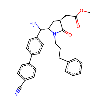 COC(=O)C[C@@H]1C[C@@H](C(N)c2ccc(-c3ccc(C#N)cc3)cc2)N(CCCc2ccccc2)C1=O